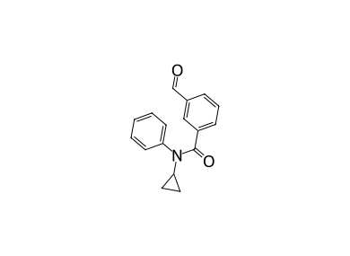 O=Cc1cccc(C(=O)N(c2ccccc2)C2CC2)c1